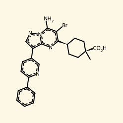 C[C@]1(C(=O)O)CC[C@@H](c2nc3c(-c4ccc(-c5ccccc5)nc4)cnn3c(N)c2Br)CC1